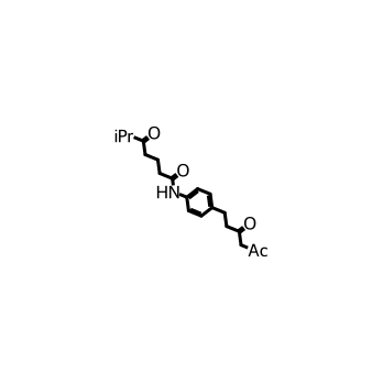 CC(=O)CC(=O)CCc1ccc(NC(=O)CCCC(=O)C(C)C)cc1